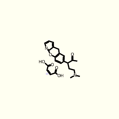 CC(=O)C(CCN(C)C)c1ccc2c(c1)Cc1cccnc1O2.O=C(O)/C=C\C(=O)O